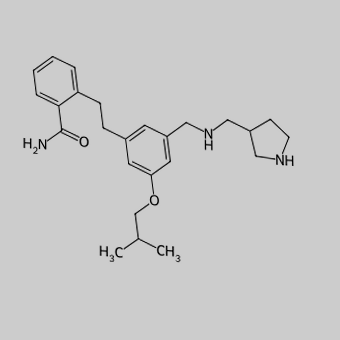 CC(C)COc1cc(CCc2ccccc2C(N)=O)cc(CNCC2CCNC2)c1